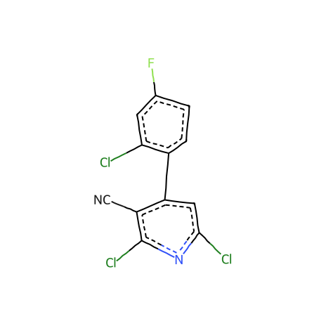 N#Cc1c(-c2ccc(F)cc2Cl)cc(Cl)nc1Cl